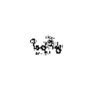 COC(=O)c1cc(-c2cnn(CC3OCCO3)c2)ccc1N[C@@H](C#N)[C@H](Cc1c[nH]c2ccccc12)NC(=O)OC(C)(C)C